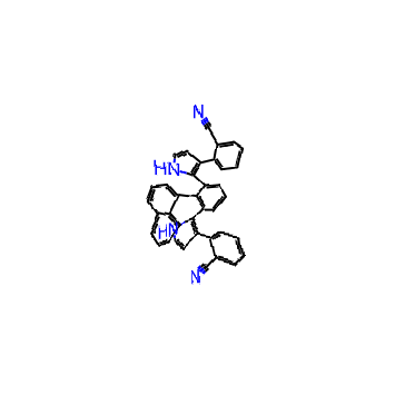 N#Cc1ccccc1-c1cc[nH]c1-c1cccc(-c2[nH]ccc2-c2ccccc2C#N)c1-c1cccc2ccccc12